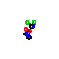 CN(C(=O)Oc1cnc(Cl)c(Cl)c1)N1CCCC1